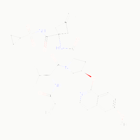 C=CC(=O)N[C@@H](C(=O)N1C[C@H](Oc2nccc3cc(OC)ccc23)C[C@H]1C(=O)NC1(C(=O)NS(=O)(=O)C2CC2)CC(=C)C1)C(C)C